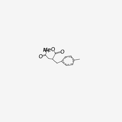 [2H]C(=O)CC(Cc1ccc(C)cc1)C(=O)OC